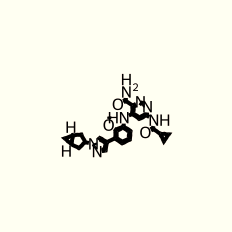 COc1c(Nc2cc(NC(=O)C3CC3)nnc2C(N)=O)cccc1-c1cnn(C2C[C@@H]3C[C@@H]3C2)c1